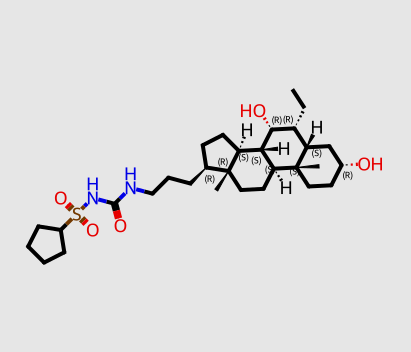 CC[C@H]1[C@@H](O)[C@@H]2[C@H](CC[C@]3(C)[C@@H](CCCNC(=O)NS(=O)(=O)C4CCCC4)CC[C@@H]23)[C@@]2(C)CC[C@@H](O)C[C@@H]12